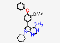 COc1cc(-c2cn(C3CCCCC3)c3ncnc(N)c23)ccc1Oc1ccccc1